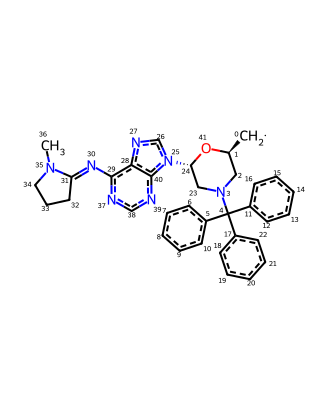 [CH2][C@H]1CN(C(c2ccccc2)(c2ccccc2)c2ccccc2)C[C@H](n2cnc3c(/N=C4\CCCN4C)ncnc32)O1